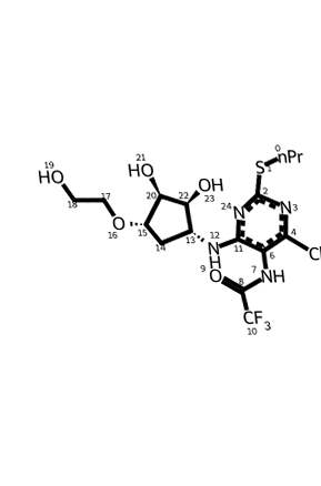 CCCSc1nc(Cl)c(NC(=O)C(F)(F)F)c(N[C@@H]2C[C@H](OCCO)[C@@H](O)[C@H]2O)n1